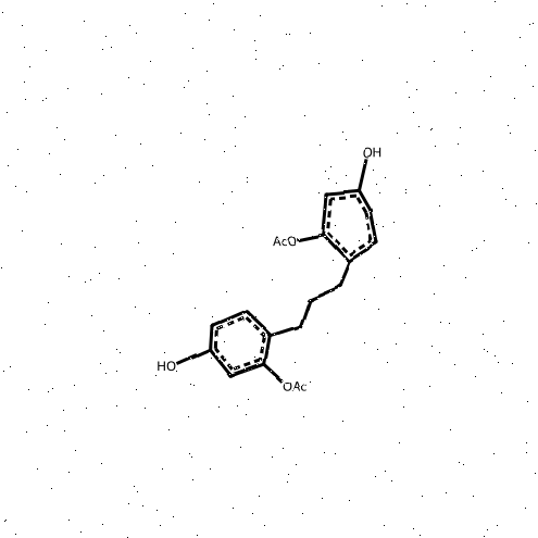 CC(=O)Oc1cc(O)ccc1CCCc1ccc(O)cc1OC(C)=O